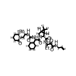 C=CCNC(=O)C(=O)C(CC)NC(=O)[C@@H]1[C@@H]2[C@H](CN1C(=O)[C@@H](NC(=O)N[C@H](CN1CCCCC1=O)C(C)(C)C)C1CCCCC1)C2(C)C